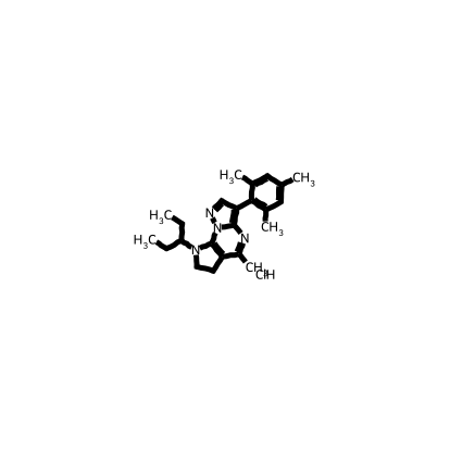 CCC(CC)N1CCc2c(C)nc3c(-c4c(C)cc(C)cc4C)cnn3c21.Cl